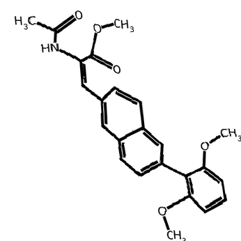 COC(=O)/C(=C\c1ccc2cc(-c3c(OC)cccc3OC)ccc2c1)NC(C)=O